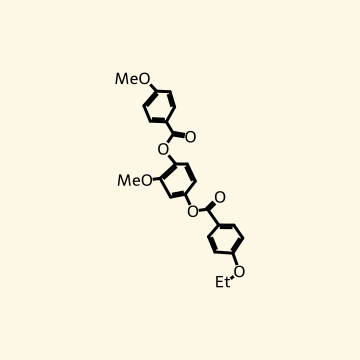 CCOc1ccc(C(=O)Oc2ccc(OC(=O)c3ccc(OC)cc3)c(OC)c2)cc1